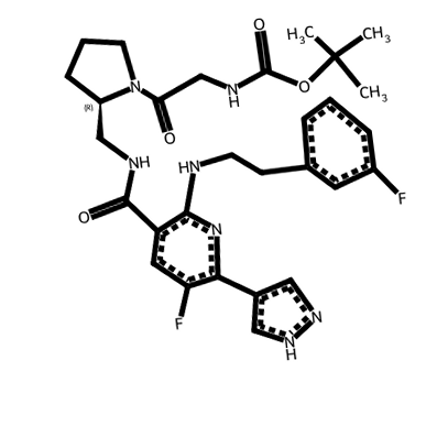 CC(C)(C)OC(=O)NCC(=O)N1CCC[C@@H]1CNC(=O)c1cc(F)c(-c2cn[nH]c2)nc1NCCc1cccc(F)c1